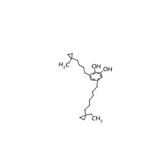 CCC1(CCCCCCc2cc(O)c(O)c(CCCCC3(C)CC3)c2)CC1